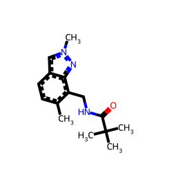 Cc1ccc2cn(C)nc2c1CNC(=O)C(C)(C)C